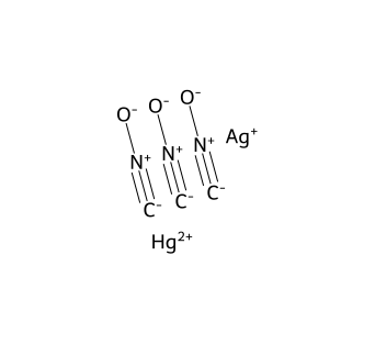 [Ag+].[C-]#[N+][O-].[C-]#[N+][O-].[C-]#[N+][O-].[Hg+2]